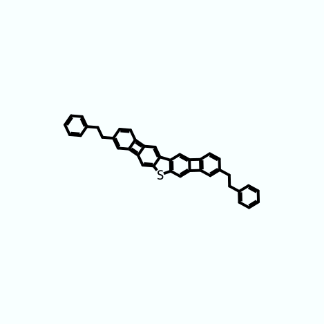 c1ccc(CCc2ccc3c(c2)c2cc4sc5cc6c7cc(CCc8ccccc8)ccc7c6cc5c4cc32)cc1